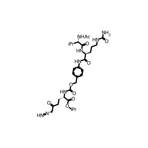 CC(=O)N[C@H](C(=O)N[C@@H](CCCNC(N)=O)C(=O)Nc1ccc(COC(=O)N[C@@H](CCC(=O)C=[N+]=N)C(=O)OC(C)C)cc1)C(C)C